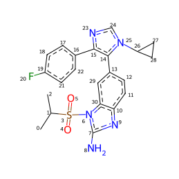 CC(C)S(=O)(=O)n1c(N)nc2ccc(-c3c(-c4ccc(F)cc4)ncn3C3CC3)cc21